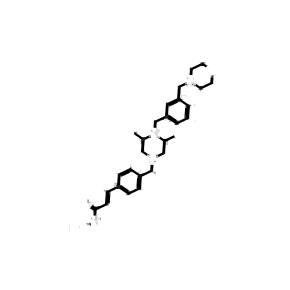 CC1CN(Cc2ccc(/C=C/C(=O)NO)cc2)CC(C)N1Cc1cccc(CN2CCOCC2)c1